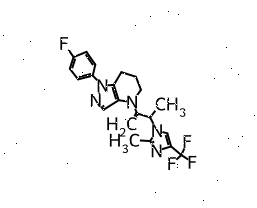 C=C(C(C)n1cc(C(F)(F)F)nc1C)N1CCCc2c1cnn2-c1ccc(F)cc1